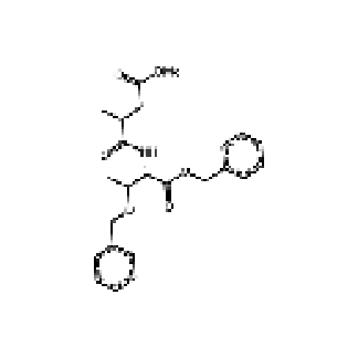 COC(=O)CC(C)C(=O)N[C@H](C(=O)OCc1ccccc1)C(C)OCc1ccccc1